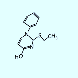 CCSC1N=C(O)C=CN1c1ccccc1